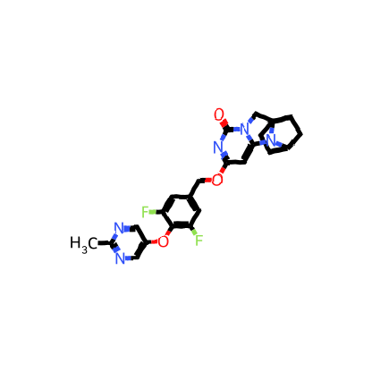 Cc1ncc(Oc2c(F)cc(COc3cc4n(c(=O)n3)CC35CCC(CC3)N45)cc2F)cn1